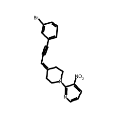 O=[N+]([O-])c1cccnc1N1CCC(=CC#Cc2cccc(Br)c2)CC1